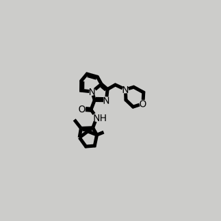 CC1=C(NC(=O)c2nc(CN3CCOCC3)c3ccccn23)C2(C)CCC1C2